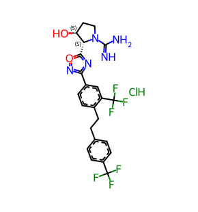 Cl.N=C(N)N1CC[C@H](O)[C@H]1c1nc(-c2ccc(CCc3ccc(C(F)(F)F)cc3)c(C(F)(F)F)c2)no1